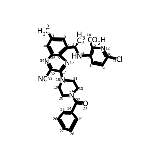 Cc1cc([C@@H](C)Nc2ccc(Cl)nc2C(=O)O)c2nc(N3CCN(C(=O)c4ccccc4)CC3)c(C#N)nc2c1